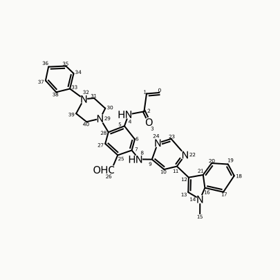 C=CC(=O)Nc1cc(Nc2cc(-c3cn(C)c4ccccc34)ncn2)c(C=O)cc1N1CCN(c2ccccc2)CC1